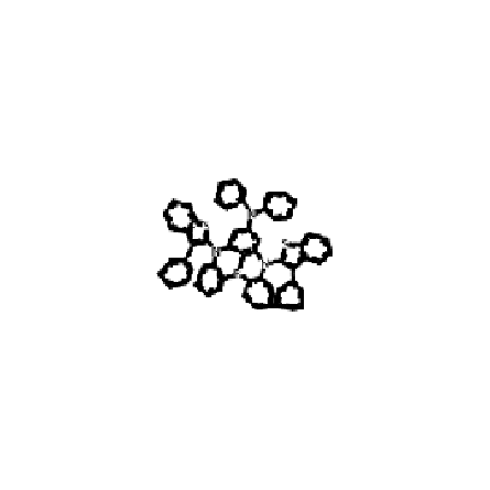 c1ccc(-c2c(N3c4ccccc4B4c5ccccc5N(c5sc6ccccc6c5-c5ccccc5)c5cc(N(c6ccccc6)c6ccccc6)cc3c54)sc3ccccc23)cc1